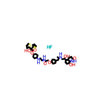 CC(Cc1ccc(OCC(=O)NCCNC2CCC(OC(=O)C(O)(c3cccs3)c3cccs3)CC2)cc1)NC[C@@H](O)c1ccc(O)c2[nH]c(=O)ccc12.F.F